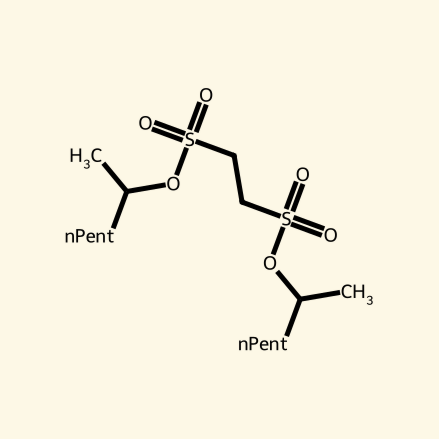 CCCCCC(C)OS(=O)(=O)CCS(=O)(=O)OC(C)CCCCC